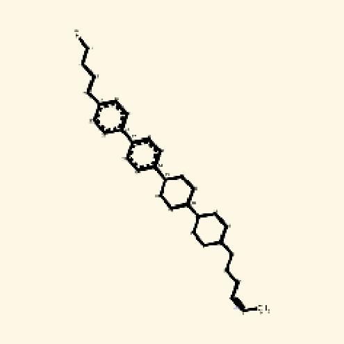 C/C=C\CCCC1CCC(C2CCC(c3ccc(-c4ccc(CCCCF)cc4)cc3)CC2)CC1